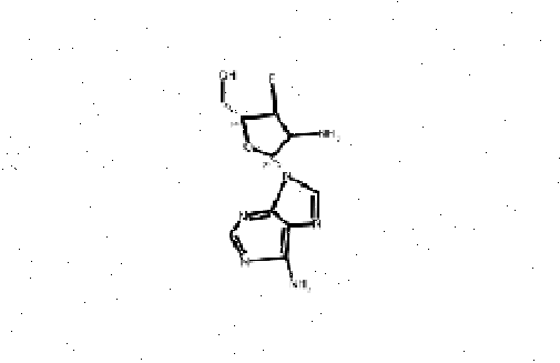 Nc1ncnc2c1ncn2[C@@H]1O[C@H](CO)C(F)C1N